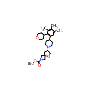 Cc1cc(C2CCN([C@@H]3COC4(C3)CN(C(=O)OC(C)(C)C)C4)CC2)c(C2CCOCC2)c(C)c1C